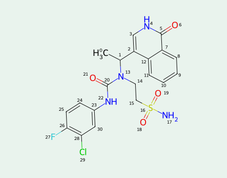 CC(c1c[nH]c(=O)c2ccccc12)N(CCS(N)(=O)=O)C(=O)Nc1ccc(F)c(Cl)c1